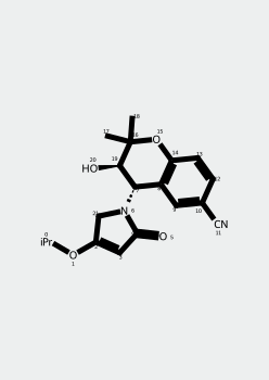 CC(C)OC1=CC(=O)N([C@H]2c3cc(C#N)ccc3OC(C)(C)[C@@H]2O)C1